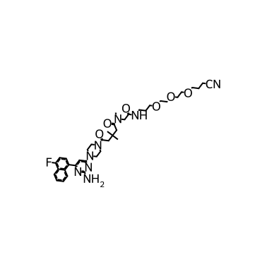 CN(CC(=O)NCCCOCCOCCOCCCC#N)C(=O)CC(C)(C)CC(=O)N1CCN(c2cc(-c3ccc(F)c4ccccc34)nc(N)n2)CC1